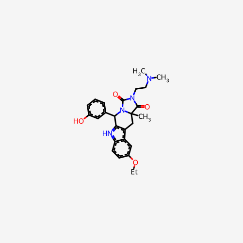 CCOc1ccc2[nH]c3c(c2c1)CC1(C)C(=O)N(CCN(C)C)C(=O)N1C3c1cccc(O)c1